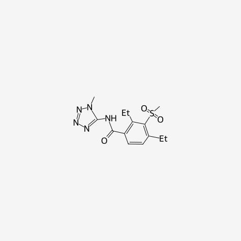 CCc1ccc(C(=O)Nc2nnnn2C)c(CC)c1S(C)(=O)=O